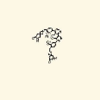 COc1cc(-c2nccc(-c3nccc(-c4ccc(CN5CC6(CNC(=O)C6)C5)c(OC)n4)c3Cl)c2Cl)ccc1CN1CC2(CNC(=O)C2)C1